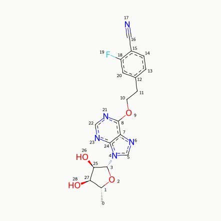 C[C@H]1O[C@@H](n2cnc3c(OCCc4ccc(C#N)c(F)c4)ncnc32)[C@H](O)[C@@H]1O